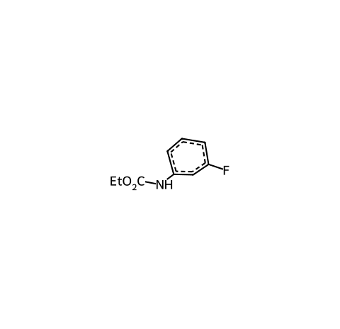 [CH2]COC(=O)Nc1cccc(F)c1